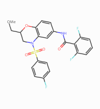 COCC1CN(S(=O)(=O)c2ccc(F)cc2)c2cc(NC(=O)c3c(F)cccc3F)ccc2O1